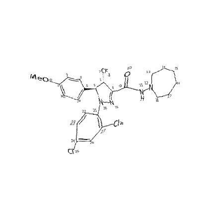 COc1ccc([C@H]2[C@H](C(F)(F)F)C(C(=O)NN3CCCCCC3)=NN2c2ccc(Cl)cc2Cl)cc1